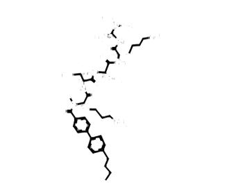 CCCCc1ccc(-c2ccc(C(=O)N(C)[C@@H](CCCCN)C(=O)N[C@H](C(=O)N[C@@H](N)C(=O)N[C@@H](CCCCN)C(=O)N[C@@H](N)B(O)O)[C@@H](C)O)cc2)cc1